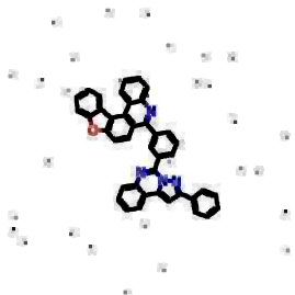 c1ccc(-c2cc3c4ccccc4nc(-c4cccc(-c5nc6ccccc6c6c5ccc5oc7ccccc7c56)c4)n3n2)cc1